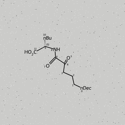 CCCCCCCCCCCCCC(=O)C(=O)N[C@@H](CCCC)C(=O)O